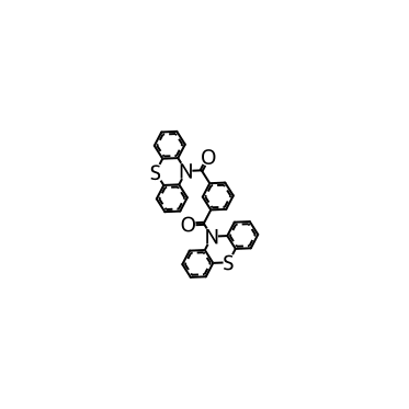 O=C(c1cccc(C(=O)N2c3ccccc3Sc3ccccc32)c1)N1c2ccccc2Sc2ccccc21